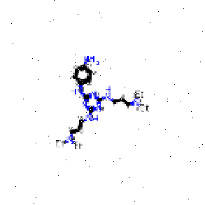 CCN(CC)CCCNc1nc(NCCCN(CC)CC)nc(Nc2ccc(N)cc2)n1